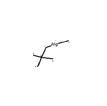 [CH3][Mg][CH2]C(C)(C)C